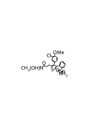 COc1ccc(-c2c(-c3ccccc3S(N)(=O)=O)csc2CCC(=O)N(C)O)cc1Cl